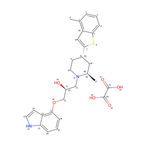 Cc1cccc2sc([C@H]3CCN(C[C@H](O)COc4cccc5[nH]ccc45)[C@H](C)C3)cc12.O=C(O)C(=O)O